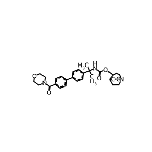 CC(C)(NC(=O)OC1CCN2CCC1CC2)c1ccc(-c2ccc(C(=O)N3CCOCC3)cc2)cc1